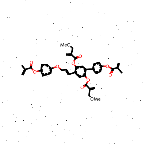 C=C(C)C(=O)Oc1ccc(OC/C=C/c2cc(OC(=O)C(=C)COC)c(-c3ccc(OC(=O)C(=C)C)cc3)cc2OC(=O)C(=C)COC)cc1